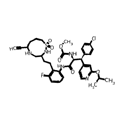 C#CC1CCCS(=O)(=O)NC(CCc2c(F)cccc2NC(=O)[C@@H](NC(=O)OC)[C@@H](c2ccc(Cl)cc2)c2ccnc(OC(C)C)c2)CN1